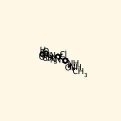 CCNC(=O)Nc1ccc(-c2nc3nc(OC4CO[C@@H]5CCO[C@]45C)[nH]c3cc2Cl)cc1